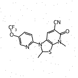 CC1Sc2c(cc(C#N)c(=O)n2C)N1c1ccc(OC(F)(F)F)cn1